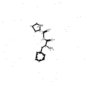 N[C@@H](Cc1ccccc1)C(=O)OC(=O)[C@@H]1CCCN1